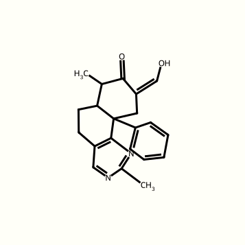 Cc1ncc2c(n1)C1(c3ccccc3)CC(=CO)C(=O)C(C)C1CC2